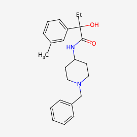 CCC(O)(C(=O)NC1CCN(Cc2ccccc2)CC1)c1cccc(C)c1